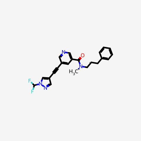 CN(C[CH]Cc1ccccc1)C(=O)c1cncc(C#Cc2cnn(C(F)F)c2)c1